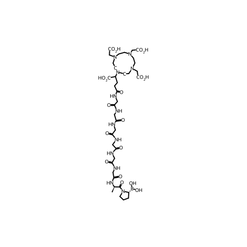 C[C@@H](NC(=O)CNC(=O)CNC(=O)CNC(=O)CNC(=O)CNC(=O)CNC(=O)CCC(C(=O)O)N1CCN(CC(=O)O)CCN(CC(=O)O)CCN(CC(=O)O)CC1)C(=O)N1CCC[C@H]1B(O)O